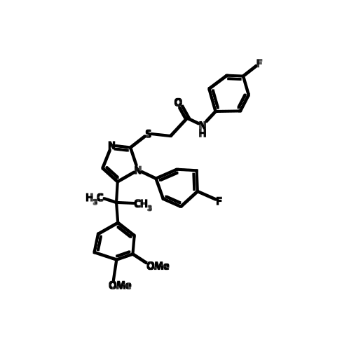 COc1ccc(C(C)(C)c2cnc(SCC(=O)Nc3ccc(F)cc3)n2-c2ccc(F)cc2)cc1OC